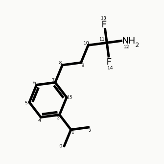 CC(C)c1cccc(CCCC(N)(F)F)c1